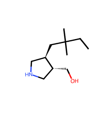 CCC(C)(C)C[C@@H]1CNC[C@H]1CO